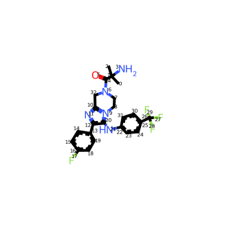 CC(C)(N)C(=O)N1CCn2c(nc(-c3ccc(F)cc3)c2Nc2ccc(C(F)(F)F)cc2)C1